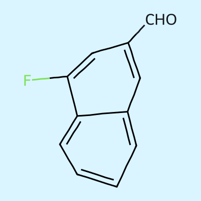 O=Cc1cc(F)c2ccccc2c1